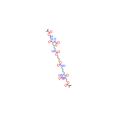 C=C(C)C(=O)OCCNC(=O)C(CCCCNC(=O)OCCCCOC(=O)NCCCCC(NC(=O)OC)C(=O)NCCOC(=O)C(=C)C)NC(=O)OC